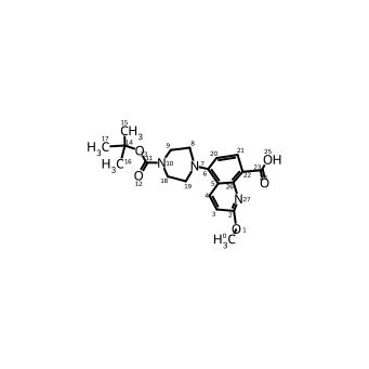 COc1ccc2c(N3CCN(C(=O)OC(C)(C)C)CC3)ccc(C(=O)O)c2n1